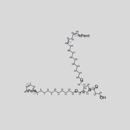 CCCCC/C=C\C/C=C\CCCCCCCCCCOC[C@@H]1CN(C(=O)CCO)C[C@H]1COCCCCCCCCCC/C=C\C/C=C\CCCCC